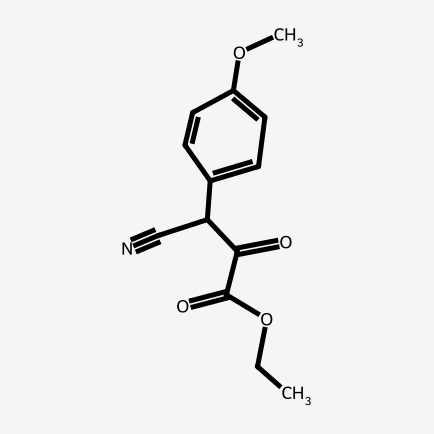 CCOC(=O)C(=O)C(C#N)c1ccc(OC)cc1